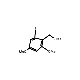 COc1cc(I)c(CC=O)c(OC)c1